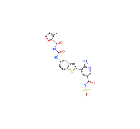 Cc1ccoc1C(=O)NC(=O)Nc1ccc2sc(-c3cc(C(=O)N=S(C)(C)=O)cnc3N)cc2c1